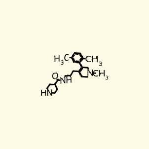 Cc1ccc(C)c(C2=C(CCCNC(=O)C3CCNCC3)CCN(C)C2)c1